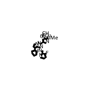 COc1ncc(-c2nc(NCc3ncccc3F)c3c(-c4ccccc4)ccn3n2)cc1S(C)(=O)=O